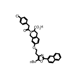 CCCCc1oc(-c2ccc3ccccc3c2)nc1CCOc1ccc2c(c1)CN(C(=O)Cc1ccc(Cl)cc1)C(C(=O)O)C2